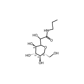 CCCNC(=O)C(O)C1O[C@H](CO)[C@@H](O)[C@H](O)[C@H]1O